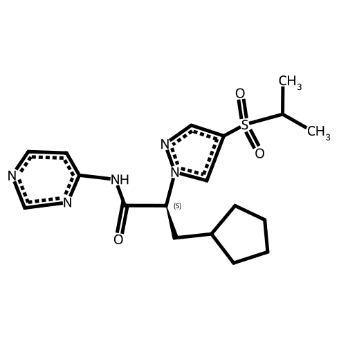 CC(C)S(=O)(=O)c1cnn([C@@H](CC2CCCC2)C(=O)Nc2ccncn2)c1